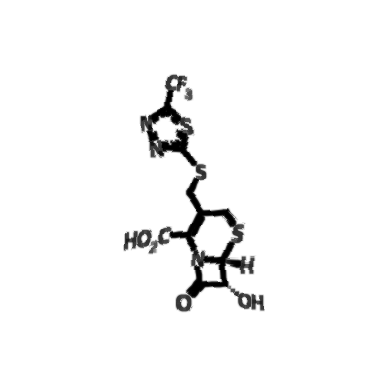 O=C(O)C1=C(CSc2nnc(C(F)(F)F)s2)CS[C@@H]2[C@H](O)C(=O)N12